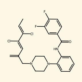 C=C(/C=C(Cl)/C(Cl)=C/C)CN1CCN(c2ccccc2NC(=O)c2ccc(F)c(F)c2)CC1